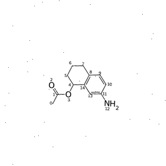 CC(=O)OC1CCCc2ccc(N)cc21